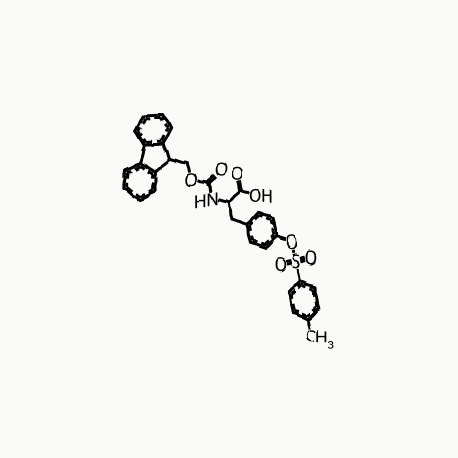 Cc1ccc(S(=O)(=O)Oc2ccc(CC(NC(=O)OCC3c4ccccc4-c4ccccc43)C(=O)O)cc2)cc1